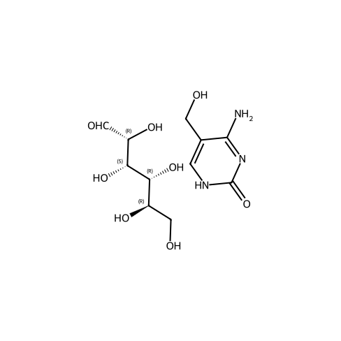 Nc1nc(=O)[nH]cc1CO.O=C[C@H](O)[C@@H](O)[C@H](O)[C@H](O)CO